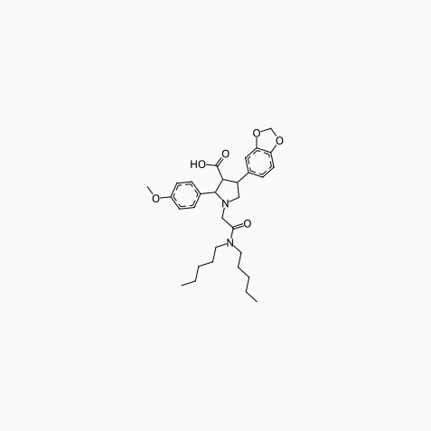 CCCCCN(CCCCC)C(=O)CN1CC(c2ccc3c(c2)OCO3)C(C(=O)O)C1c1ccc(OC)cc1